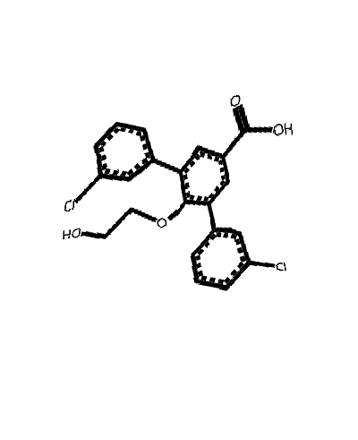 O=C(O)c1cc(-c2cccc(Cl)c2)c(OCCO)c(-c2cccc(Cl)c2)c1